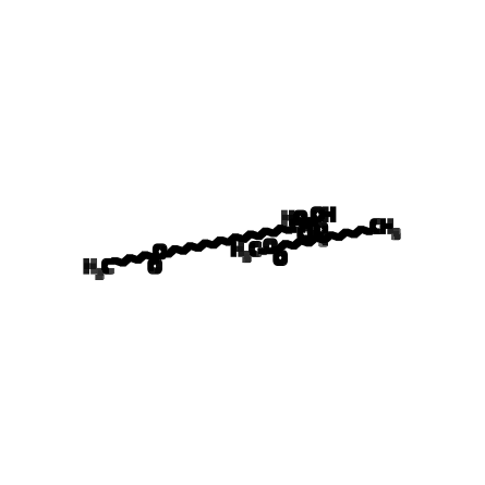 CC(O)C(=O)O.CCCCCCCCCCCCCC(=O)OCC.CCCCCCCCCCCCCCCCCCOC(=O)CCCCCC